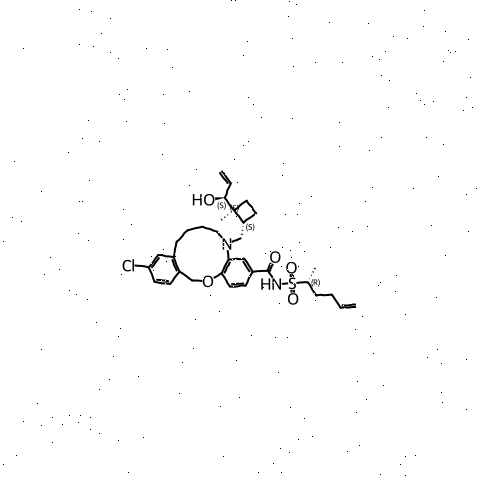 C=CCC[C@@H](C)S(=O)(=O)NC(=O)c1ccc2c(c1)N(C[C@H]1CC[C@]1(C)[C@@H](O)C=C)CCCCc1cc(Cl)ccc1CO2